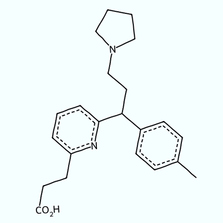 Cc1ccc(C(CCN2CCCC2)c2cccc(CCC(=O)O)n2)cc1